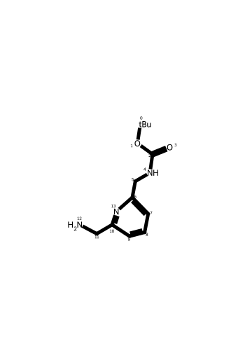 CC(C)(C)OC(=O)NCc1cccc(CN)n1